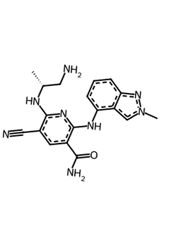 C[C@H](CN)Nc1nc(Nc2cccc3nn(C)cc23)c(C(N)=O)cc1C#N